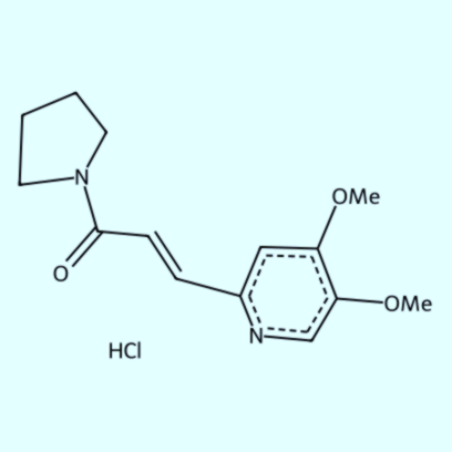 COc1cnc(C=CC(=O)N2CCCC2)cc1OC.Cl